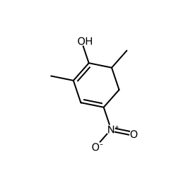 CC1=C(O)C(C)CC([N+](=O)[O-])=C1